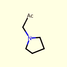 CC(=O)CN1CCCC1